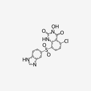 O=c1[nH]c2c(S(=O)(=O)c3ccc4[nH]cnc4c3)ccc(Cl)c2c(=O)n1O